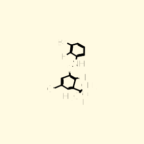 CC(C)(O)c1cc(Cl)cc(SNc2cccc(Br)c2F)c1Cl